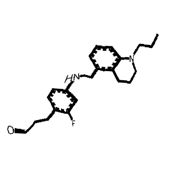 CCCN1CCCc2c(CNc3ccc(CCC=O)c(F)c3)cccc21